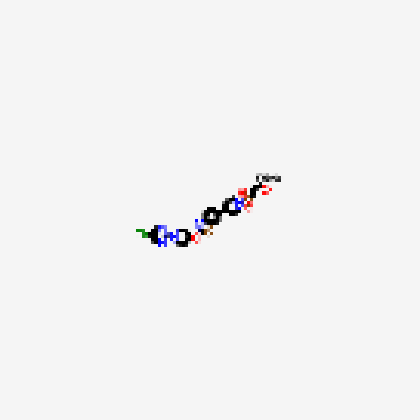 COC(=O)CCS(=O)(=O)N1CCC(c2ccc3nc(OC4CCN(c5ncc(Cl)cn5)CC4)sc3c2)CC1